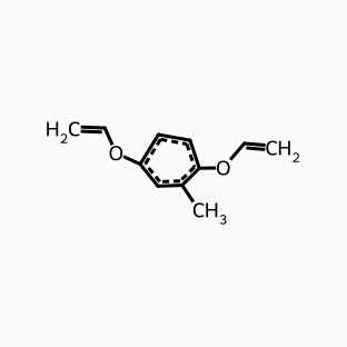 C=COc1ccc(OC=C)c(C)c1